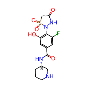 O=C1CS(=O)(=O)N(c2c(O)cc(C(=O)N[C@H]3CCCNC3)cc2F)N1